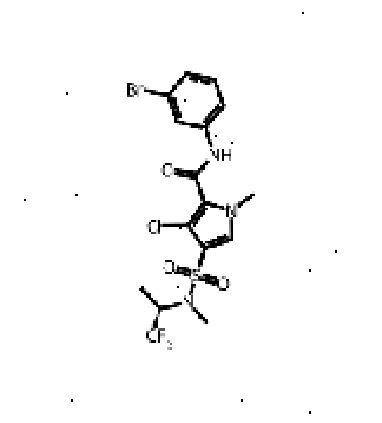 C[C@@H](N(C)S(=O)(=O)c1cn(C)c(C(=O)Nc2cccc(Br)c2)c1Cl)C(F)(F)F